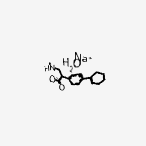 CNCC(C(=O)[O-])c1ccc(C2CCCCC2)cc1.O.[Na+]